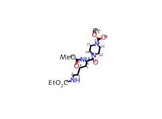 CCOC(=O)NCCCCC(NC(=O)OC)C(=O)N1CCN(C(=O)OC(C)C)CC1